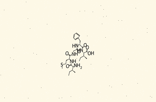 CC[C@H](C)[C@H](N)C(=O)N[C@@H](CCSC)C(=O)NCC(=O)N[C@@H](Cc1ccccc1)C(=O)N[C@H](C(=O)O)[C@@H](C)CC